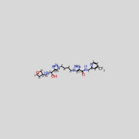 O=C(NCc1cc(C(F)(F)F)ccn1)c1cn(CCCCn2cc(C(O)NCC3CCOC3)nn2)nn1